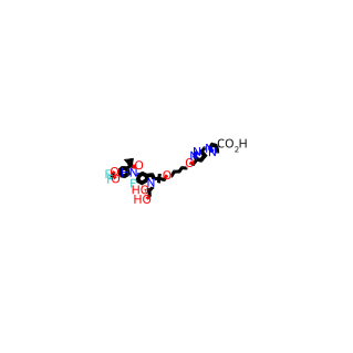 CC(C)(COCCCCCOCc1ccc(Cn2cc(C(=O)O)cn2)nn1)c1cc2cc(NC(=O)C3(c4ccc5c(c4)OC(F)(F)O5)CC3)c(F)cc2n1C[C@@H](O)CO